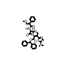 CON=C(C(=O)NC1C(=O)N2C(C(=O)OC(c3ccccc3)c3ccccc3)=C(c3nnc(N(C)C)s3)CS[C@@H]12)c1ccccc1